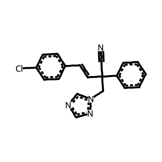 N#CC(C=Cc1ccc(Cl)cc1)(Cn1cncn1)c1ccccc1